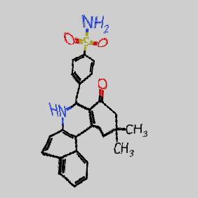 CC1(C)CC(=O)C2=C(C1)c1c(ccc3ccccc13)NC2c1ccc(S(N)(=O)=O)cc1